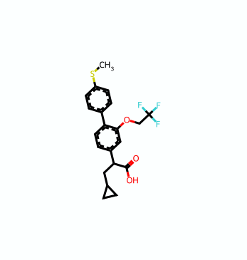 CSc1ccc(-c2ccc(C(CC3CC3)C(=O)O)cc2OCC(F)(F)F)cc1